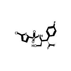 O=S(=O)(N[C@H](CO)[C@H](c1ccc(F)cc1)C(F)F)c1ccc(Cl)s1